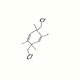 CC1=CC(C)(CCl)C(C)=CC1(C)CCl